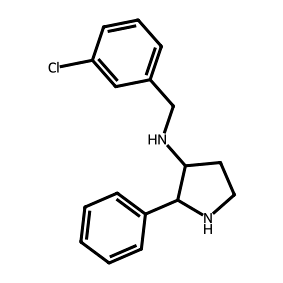 Clc1cccc(CNC2CCNC2c2ccccc2)c1